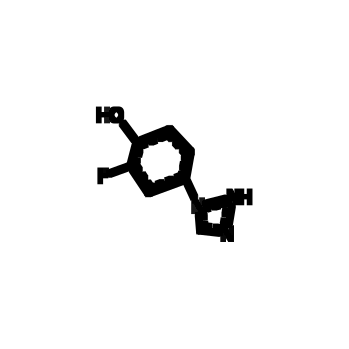 Oc1ccc(-n2cn[nH]2)cc1F